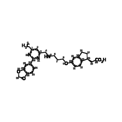 Cc1cc(CNCCCOc2ccc3c(c2)CC[C@H]3CC(=O)O)nc(-c2ccc3c(c2)OCO3)n1